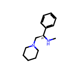 CN[C@@H](CN1CCCCC1)c1ccccc1